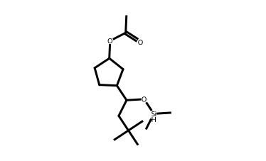 CC(=O)OC1CCC(C(CC(C)(C)C)O[SiH](C)C)C1